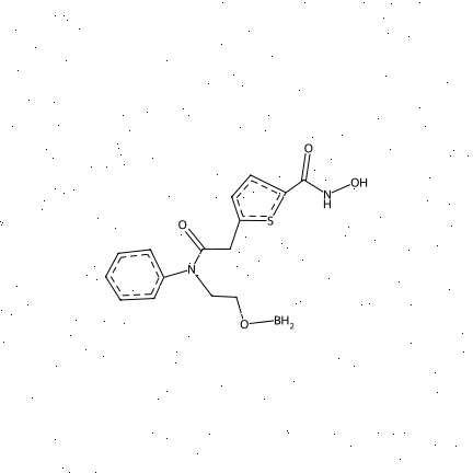 BOCCN(C(=O)Cc1ccc(C(=O)NO)s1)c1ccccc1